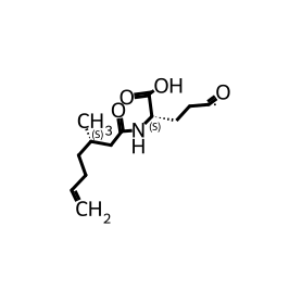 C=CCC[C@H](C)CC(=O)N[C@@H](CC[C]=O)C(=O)O